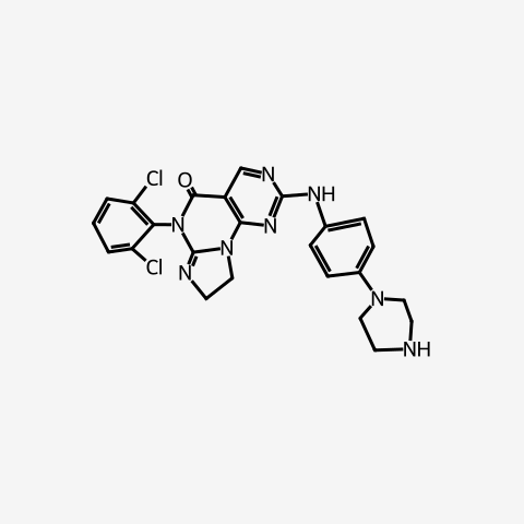 O=C1c2cnc(Nc3ccc(N4CCNCC4)cc3)nc2N2CCN=C2N1c1c(Cl)cccc1Cl